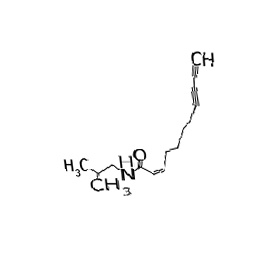 C#CC#CCCCC/C=C\C(=O)NCC(C)C